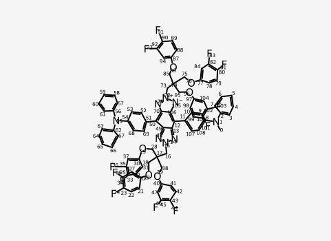 CN(c1ccccc1)c1ccc(-c2c3nn(CC(COc4ccc(F)c(F)c4)(COc4ccc(F)c(F)c4)COc4ccc(F)c(F)c4)nc3c(-c3ccc(N(c4ccccc4)c4ccccc4)cc3)c3n[n+](CC(COc4ccc(F)c(F)c4)(COc4ccc(F)c(F)c4)COc4ccc(F)c(F)c4)[n-]c23)cc1